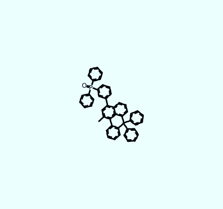 Cc1cc(-c2cccc(P(=O)(c3ccccc3)c3ccccc3)c2)c2cccc3c2c1-c1ccccc1C3(c1ccccc1)c1ccccc1